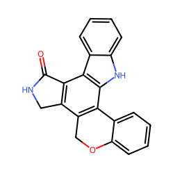 O=C1NCc2c3c(c4[nH]c5ccccc5c4c21)-c1ccccc1OC3